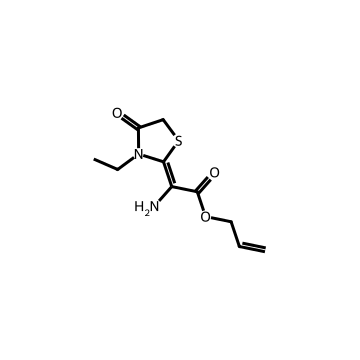 C=CCOC(=O)/C(N)=C1\SCC(=O)N1CC